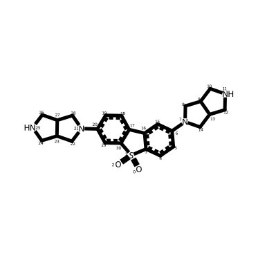 O=S1(=O)c2ccc(N3CC4CNCC4C3)cc2-c2ccc(N3CC4CNCC4C3)cc21